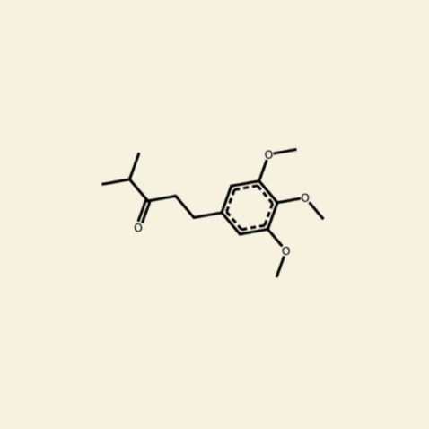 COc1cc(CCC(=O)C(C)C)cc(OC)c1OC